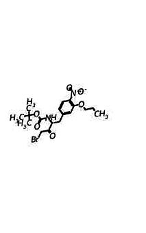 CCCOc1cc(C[C@H](NC(=O)OC(C)(C)C)C(=O)CBr)ccc1[N+](=O)[O-]